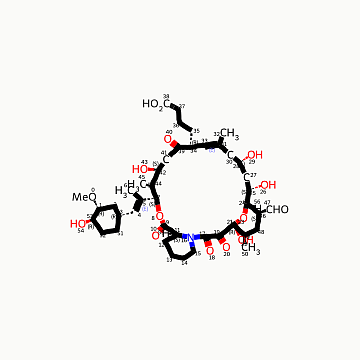 CO[C@@H]1C[C@H](/C=C(\C)[C@H]2OC(=O)[C@@H]3CCCCN3C(=O)C(=O)[C@]3(O)O[C@H]([C@@H](O)C[C@@H](O)C/C(C)=C/[C@@H](CCCC(=O)O)C(=O)C[C@H](O)[C@H]2C)[C@@H](C=O)C[C@H]3C)CC[C@H]1O